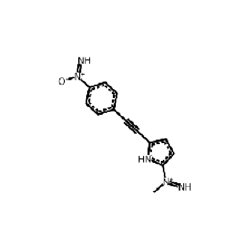 C[N+](=N)c1ccc(C#Cc2ccc([N+](=N)[O-])cc2)[nH]1